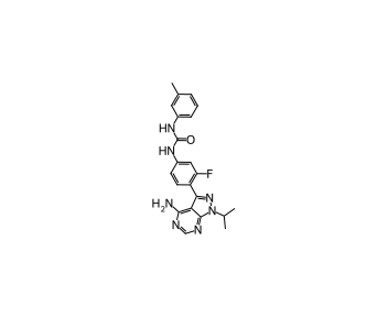 Cc1cccc(NC(=O)Nc2ccc(-c3nn(C(C)C)c4ncnc(N)c34)c(F)c2)c1